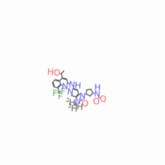 [2H]C([2H])([2H])n1c(=O)n([C@@H]2CC[C@@H](NC(=O)OC)C2)c2cc(Nc3cc(C(C)O)c4cccc(C(F)(F)F)c4n3)ncc21